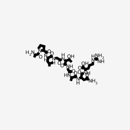 CC(C)CC(NC(=O)C1CCCN1C(=O)C(C)N)C(=O)NCC(=O)NC(C(=O)NCC(=O)NC(C)C(=O)NC(CC(N)=O)C(=O)NC(CCCNC(=N)N)C(=O)O)C(C)O